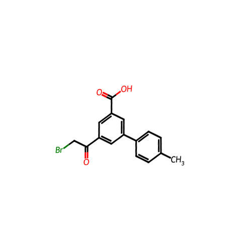 Cc1ccc(-c2cc(C(=O)O)cc(C(=O)CBr)c2)cc1